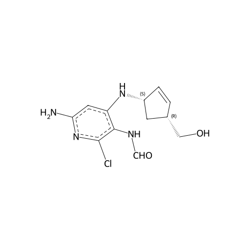 Nc1cc(N[C@@H]2C=C[C@H](CO)C2)c(NC=O)c(Cl)n1